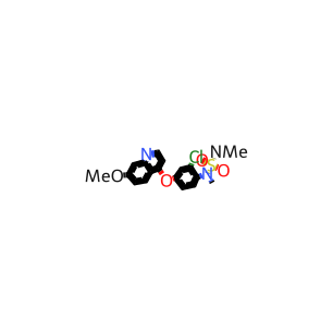 CNS(=O)(=O)N(C)c1ccc(Oc2ccnc3cc(OC)ccc23)cc1Cl